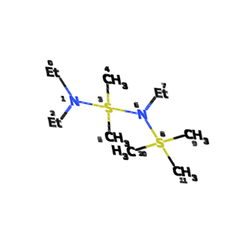 CCN(CC)S(C)(C)N(CC)S(C)(C)C